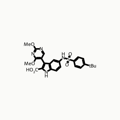 COc1ncc(-c2c(C(=O)O)[nH]c3ccc(NS(=O)(=O)c4ccc(C(C)(C)C)cc4)cc23)c(OC)n1